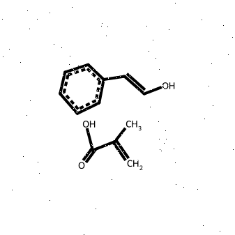 C=C(C)C(=O)O.OC=Cc1ccccc1